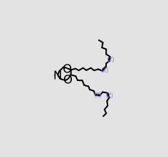 CCCCC/C=C\C/C=C\CCCCCCCC1OCCN(C)CCOC1CCCCCCC/C=C\C/C=C\CCCCC